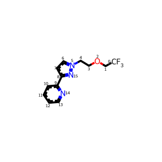 FC(F)(F)COCCn1ccc(-c2ccccn2)n1